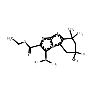 CCOC(=O)c1nc2sc3c(n2c1N(C)C)CC(C)(C)CC3(C)C